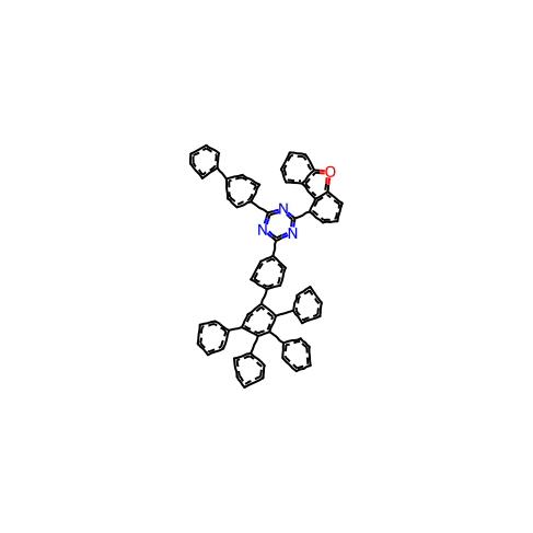 c1ccc(-c2ccc(-c3nc(-c4ccc(-c5cc(-c6ccccc6)c(-c6ccccc6)c(-c6ccccc6)c5-c5ccccc5)cc4)nc(-c4cccc5oc6ccccc6c45)n3)cc2)cc1